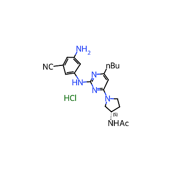 CCCCc1cc(N2CC[C@H](NC(C)=O)C2)nc(Nc2cc(N)cc(C#N)c2)n1.Cl